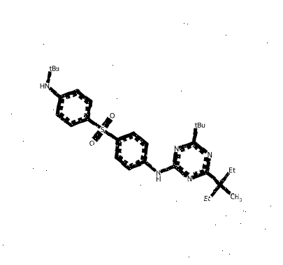 CCC(C)(CC)c1nc(Nc2ccc(S(=O)(=O)c3ccc(NC(C)(C)C)cc3)cc2)nc(C(C)(C)C)n1